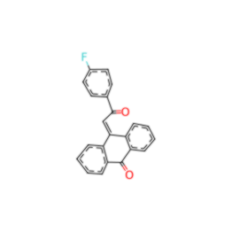 O=C(C=C1c2ccccc2C(=O)c2ccccc21)c1ccc(F)cc1